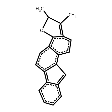 CC1=c2ccc3c4c(ccc3c2OC1C)=c1ccccc1=C4